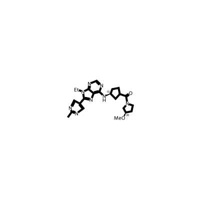 CCn1c(-c2cnc(C)nc2)nc2c(N[C@H]3CCC(C(=O)N4CC[C@@H](OC)C4)C3)ncnc21